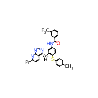 Cc1ccc(Sc2ccc(NC(=O)c3cccc(C(F)(F)F)c3)cc2[AsH]c2ncnc3nc(C(C)C)ccc23)cc1